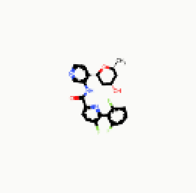 C[C@@H]1C[C@H](O)C[C@H](c2ccncc2NC(=O)c2ccc(F)c(-c3c(F)cccc3F)n2)O1